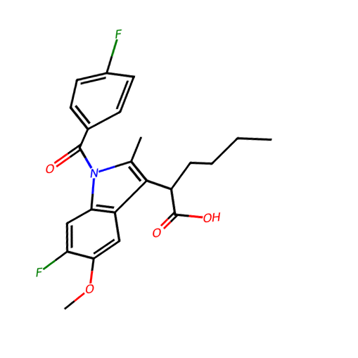 CCCCC(C(=O)O)c1c(C)n(C(=O)c2ccc(F)cc2)c2cc(F)c(OC)cc12